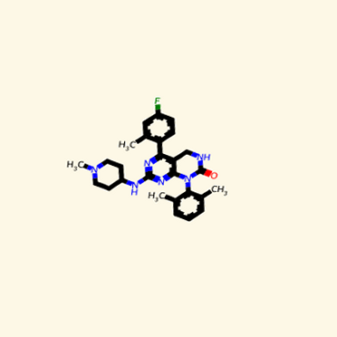 Cc1cc(F)ccc1-c1nc(NC2CCN(C)CC2)nc2c1CNC(=O)N2c1c(C)cccc1C